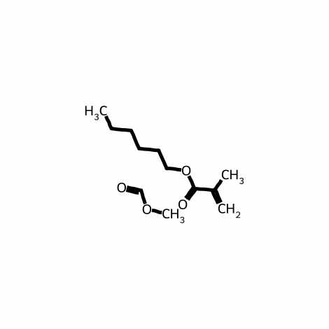 C=C(C)C(=O)OCCCCCC.COC=O